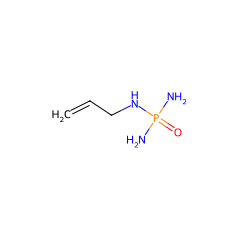 C=CCNP(N)(N)=O